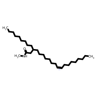 CCCCCCCC/C=C\CCCCCCCC(CCCCCCCCC)CC(=O)NC